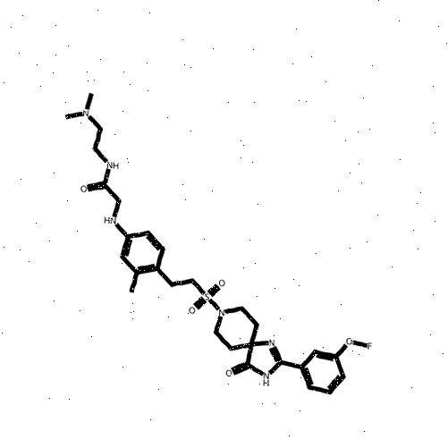 Cc1cc(NCC(=O)NCCN(C)C)ccc1CCS(=O)(=O)N1CCC2(CC1)N=C(c1cccc(OF)c1)NC2=O